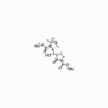 CC(C)(C)OC(=O)N1CCC([C@H](O)[C@H]2COC(C)(C)N2C(=O)OC(C)(C)C)C1=O